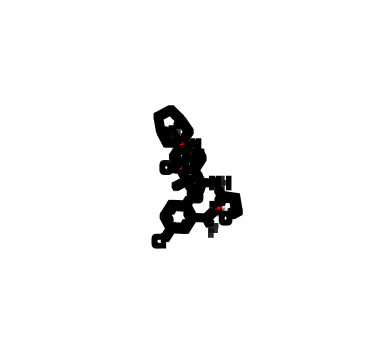 CC(C)(Oc1ccc(Cl)cc1C(F)F)C(=O)NC1CC2CCC(C1)N2c1ccc(C(=O)Nc2ccon2)cn1